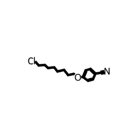 N#Cc1ccc(OCCCCCCCCCl)cc1